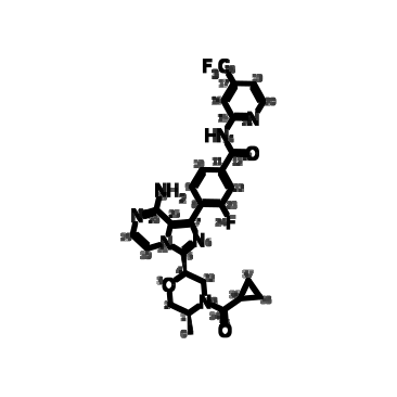 C[C@H]1CO[C@@H](c2nc(-c3ccc(C(=O)Nc4cc(C(F)(F)F)ccn4)cc3F)c3c(N)nccn23)CN1C(=O)C1CC1